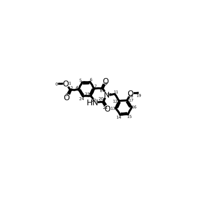 COC(=O)c1ccc2c(=O)n(Cc3ccccc3OC)c(=O)[nH]c2c1